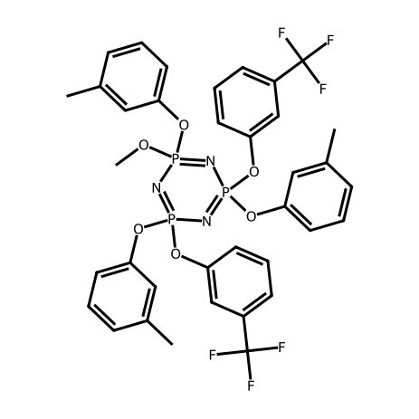 COP1(Oc2cccc(C)c2)=NP(Oc2cccc(C)c2)(Oc2cccc(C(F)(F)F)c2)=NP(Oc2cccc(C)c2)(Oc2cccc(C(F)(F)F)c2)=N1